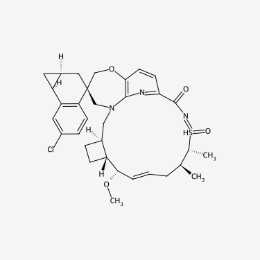 CO[C@H]1/C=C/C[C@H](C)[C@@H](C)/[SH](=O)=N\C(=O)c2ccc3c(n2)N(C[C@@H]2CC[C@H]21)C[C@]1(CO3)C[C@@H]2C[C@@H]2c2cc(Cl)ccc21